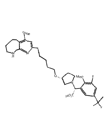 COc1cc(CCCCCO[C@@H]2CCN([C@@H](C(=O)O)c3cc(C(C)(C)F)cc(F)c3OC)C2)nc2c1CCCN2